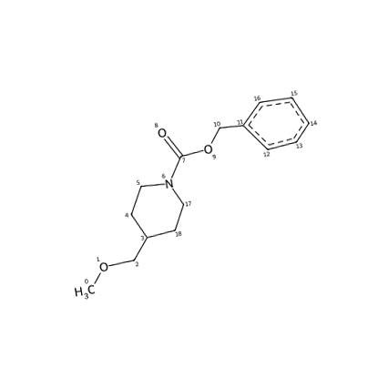 COCC1CCN(C(=O)OCc2ccccc2)CC1